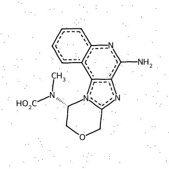 CN(C(=O)O)[C@H]1COCc2nc3c(N)nc4ccccc4c3n21